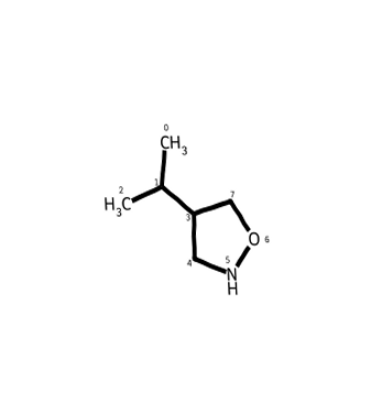 CC(C)C1CNOC1